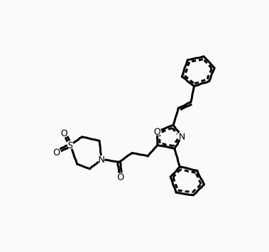 O=C(CCc1oc(C=Cc2ccccc2)nc1-c1ccccc1)N1CCS(=O)(=O)CC1